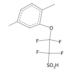 Cc1ccc(C)c(OC(F)(F)C(F)(F)S(=O)(=O)O)c1